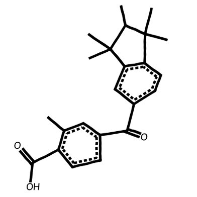 Cc1cc(C(=O)c2ccc3c(c2)C(C)(C)C(C)C3(C)C)ccc1C(=O)O